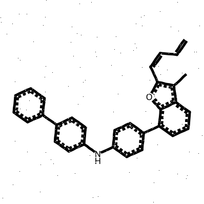 C=C/C=C\c1oc2c(-c3ccc(Nc4ccc(-c5ccccc5)cc4)cc3)cccc2c1C